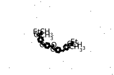 CCC(C)(C)Oc1ccc(Cc2ccc(OC(=O)c3ccc(Oc4ccc(C(=O)C(C)(C)CC)cc4)cc3)cc2)cc1